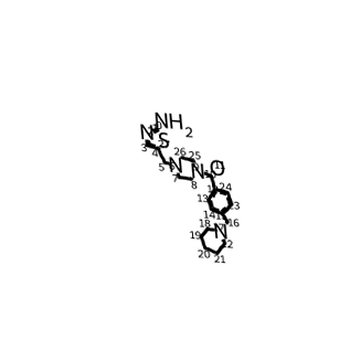 Nc1ncc(CN2CCN(C(=O)c3ccc(CN4CCCCC4)cc3)CC2)s1